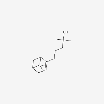 CC(C)(O)CCCC1=CCC2CC1C2(C)C